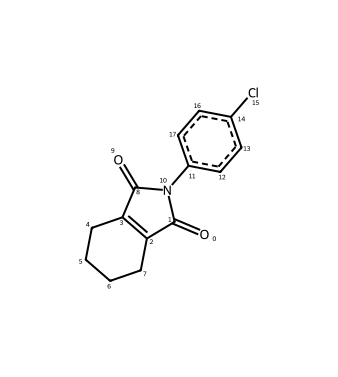 O=C1C2=C(CCCC2)C(=O)N1c1ccc(Cl)cc1